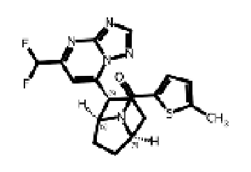 Cc1ccc(C(=O)N2[C@H]3CC[C@H](c4cc(C(F)F)nc5ncnn45)[C@@H]2CC3)s1